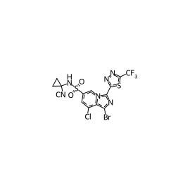 N#CC1(NS(=O)(=O)c2cc(Cl)c3c(Br)nc(-c4nnc(C(F)(F)F)s4)n3c2)CC1